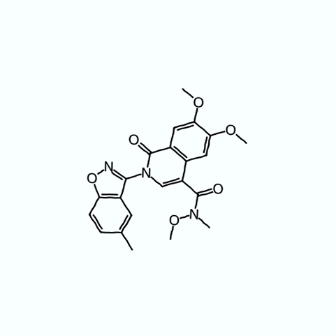 COc1cc2c(C(=O)N(C)OC)cn(-c3noc4ccc(C)cc34)c(=O)c2cc1OC